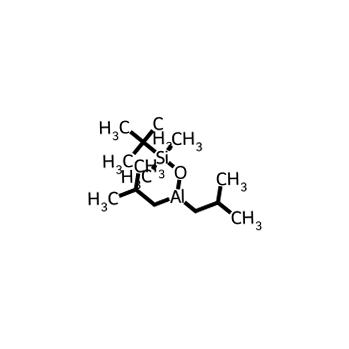 CC(C)[CH2][Al]([CH2]C(C)C)[O][Si](C)(C)C(C)(C)C